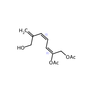 C=C(/C=C\C=C(/COC(C)=O)OC(C)=O)CO